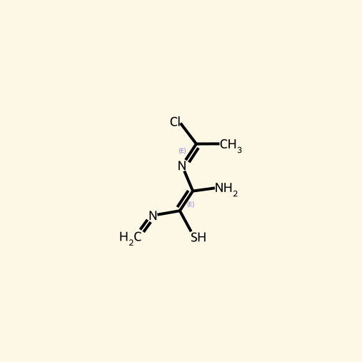 C=N/C(S)=C(N)\N=C(/C)Cl